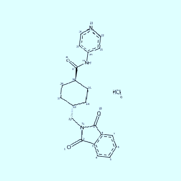 Cl.O=C1c2ccccc2C(=O)N1C[C@H]1CC[C@H](C(=O)Nc2ccncc2)CC1